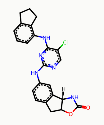 O=C1N[C@H]2c3cc(Nc4ncc(Cl)c(Nc5cccc6c5CCC6)n4)ccc3CC2O1